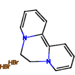 Br.Br.C1=CC2=C3C=CC=CN3CCN2C=C1